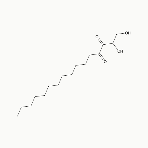 CCCCCCCCCCCCC(=O)C(=O)C(O)CO